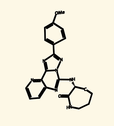 COc1ccc(-c2nc3c4ncccc4nc(N[C@@H]4CCCCNC4=O)n3n2)cc1